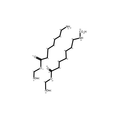 CCCCCCCCCCCOC(=O)CCCCCCN.CCCCCCCCCCCOC(=O)CCCCCCNC(=O)O